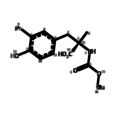 CC(C)c1cc(C[C@](C)(NC(=O)OC(C)(C)C)C(=O)O)ccc1O